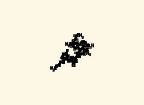 C=CCCOc1ccc(F)cc1Cc1[nH]c(-c2cn3c(N4CCC(C)(OCC=C)CC4)c(C(OC(C)(C)C)C(=O)O)c(C)cc3n2)nc1Cl